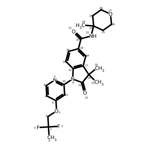 CC(F)(F)COc1ccnc(N2C(=O)C(C)(C)c3cc(C(=O)NC4(C)CCOCC4)ccc32)c1